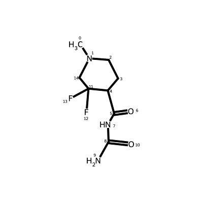 CN1CCC(C(=O)NC(N)=O)C(F)(F)C1